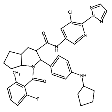 Cc1cccc(F)c1C(=O)N1C2CCCC2CC(C(=O)Nc2cnc(-n3nccn3)c(Cl)c2)C1c1ccc(NC2CCCC2)cc1